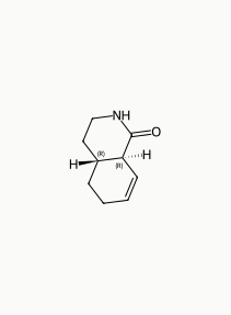 O=C1NCC[C@H]2CCC=C[C@H]12